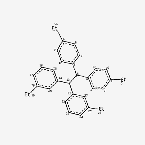 CCc1ccc([C](c2ccc(CC)cc2)C(c2cccc(CC)c2)c2cccc(CC)c2)cc1